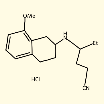 CCC(CCC#N)NC1CCc2cccc(OC)c2C1.Cl